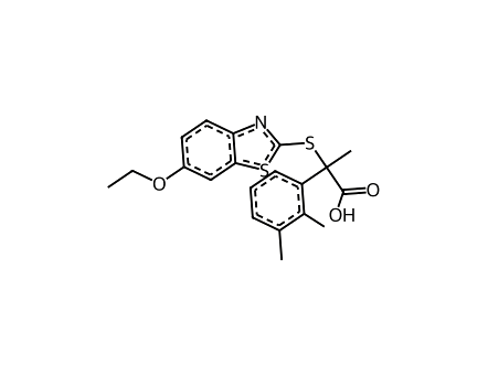 CCOc1ccc2nc(SC(C)(C(=O)O)c3cccc(C)c3C)sc2c1